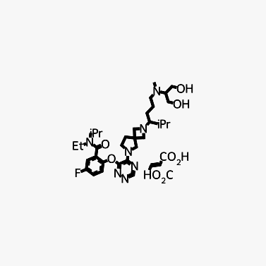 CCN(C(=O)c1cc(F)ccc1Oc1nncnc1N1CCC2(C1)CN(C(CCCN(C)C(CO)CO)C(C)C)C2)C(C)C.O=C(O)/C=C/C(=O)O